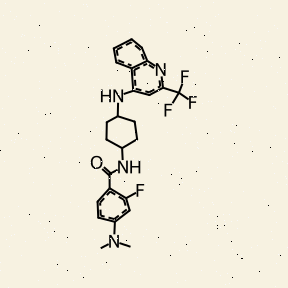 CN(C)c1ccc(C(=O)NC2CCC(Nc3cc(C(F)(F)F)nc4ccccc34)CC2)c(F)c1